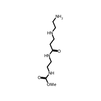 COC(=O)NCCNC(=O)CCNCCN